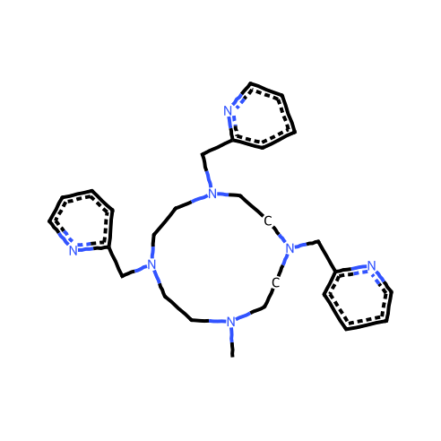 CN1CCN(Cc2ccccn2)CCN(Cc2ccccn2)CCN(Cc2ccccn2)CC1